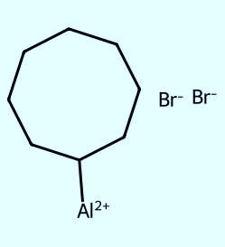 [Al+2][CH]1CCCCCCC1.[Br-].[Br-]